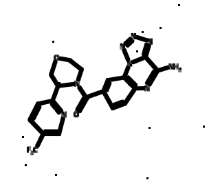 Nc1nc2ccc(C(=O)N3CCOCC3c3ccc(C(F)(F)F)cn3)cc2n2nnnc12